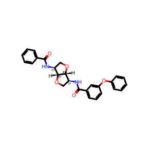 O=C(N[C@H]1CO[C@H]2[C@@H]1OC[C@@H]2NC(=O)c1cccc(Oc2ccccc2)c1)c1ccccc1